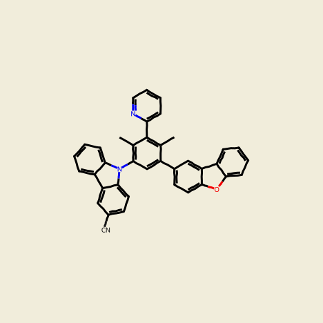 Cc1c(-c2ccc3oc4ccccc4c3c2)cc(-n2c3ccccc3c3cc(C#N)ccc32)c(C)c1-c1ccccn1